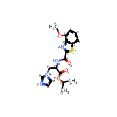 COc1cccc2sc(C(=O)NC(Cn3ccnc3)C(=O)OC(C)C)nc12